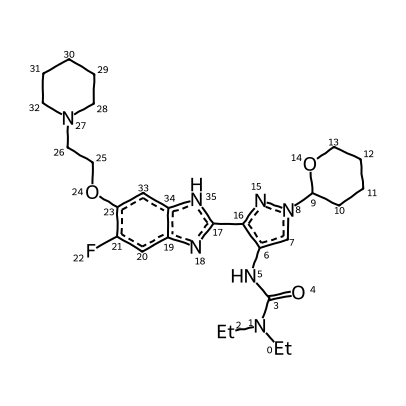 CCN(CC)C(=O)Nc1cn(C2CCCCO2)nc1-c1nc2cc(F)c(OCCN3CCCCC3)cc2[nH]1